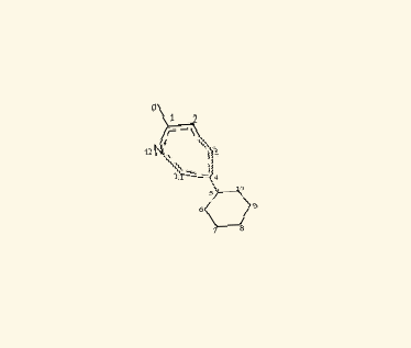 Cc1ccc([C]2CCCCC2)cn1